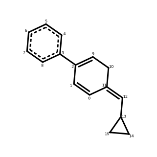 C1=CC(c2ccccc2)=CCC1=CC1CC1